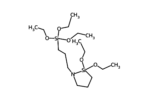 CCO[Si](CCCN1CCC[Si]1(OCC)OCC)(OCC)OCC